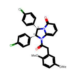 COc1ccc(OC)c(CC(=O)N2c3cccc(=O)n3[C@@H](c3ccc(Cl)cc3)[C@H]2c2ccc(Cl)cc2)c1